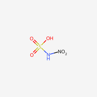 O=[N+]([O-])NS(=O)(=O)O